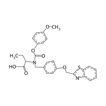 CCC(C(=O)O)N(Cc1ccc(OCc2nc3ccccc3s2)cc1)C(=O)Oc1ccc(OC)cc1